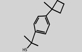 CC(C)(S)c1ccc(C2(C)CCC2)cc1